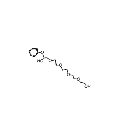 OCCOCCOCCOCCOCC(O)Oc1ccccc1